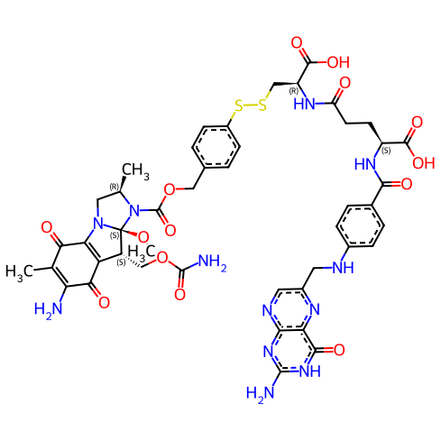 CO[C@@]12[C@H](COC(N)=O)C3=C(C(=O)C(C)=C(N)C3=O)N1C[C@@H](C)N2C(=O)OCc1ccc(SSC[C@H](NC(=O)CC[C@H](NC(=O)c2ccc(NCc3cnc4nc(N)[nH]c(=O)c4n3)cc2)C(=O)O)C(=O)O)cc1